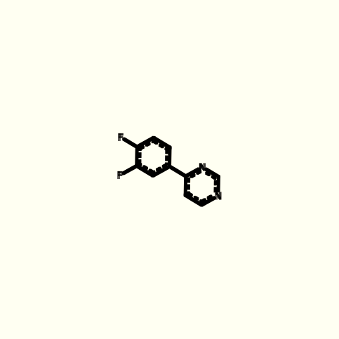 Fc1ccc(-c2ccncn2)cc1F